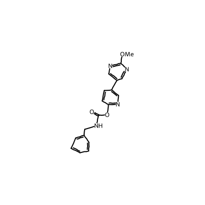 COc1ncc(-c2ccc(OC(=O)NCc3ccccc3)nc2)cn1